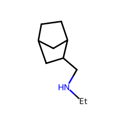 CCNCC1CC2CCC1C2